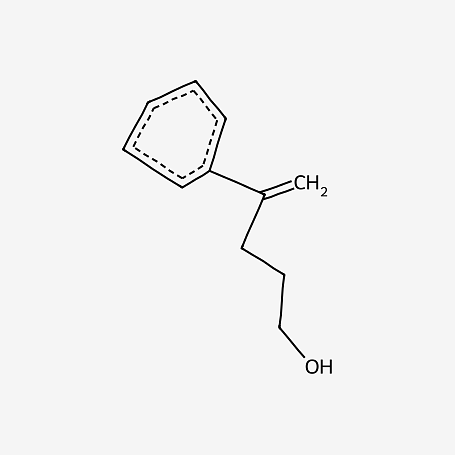 C=C(CCCO)c1ccccc1